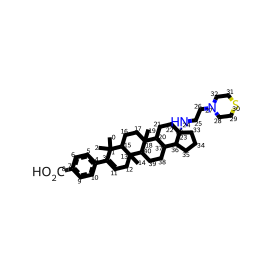 CC1(C)C(c2ccc(C(=O)O)cc2)=CCC2(C)C1CCC1(C)C3CC[C@@]4(NCCN5CCSCC5)CCCC4C3CCC12